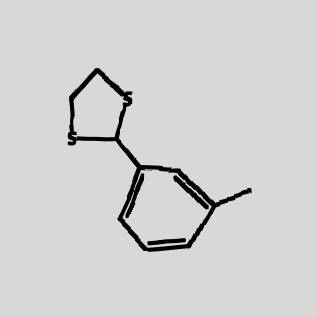 Cc1cccc(C2SCCS2)c1